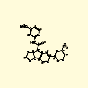 COc1cncc(NC(=O)N2c3nc(N4CCCC(C(F)(F)F)C4)ccc3C3CCCC32)c1